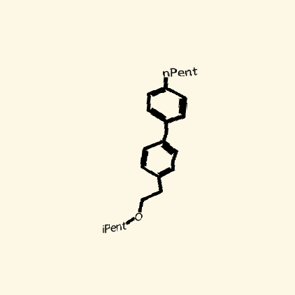 CCCCCc1ccc(-c2ccc(CCOC(C)CCC)cc2)cc1